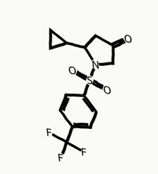 O=C1CC(C2CC2)N(S(=O)(=O)c2ccc(C(F)(F)F)cc2)C1